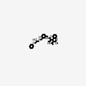 COC(=O)C1=C(C)NC(C)=C(C(=O)NCc2cccc(CNCC(O)COc3ccccc3)c2)C1c1ccccc1Cl